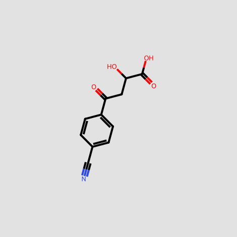 N#Cc1ccc(C(=O)CC(O)C(=O)O)cc1